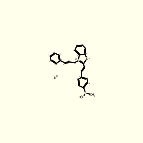 CN(C)c1ccc(/C=C/c2sc3ccccc3[n+]2C/C=C/c2ccccc2)cc1.[Br-]